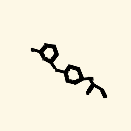 C=CC(=O)Nc1ccc(Sc2ccnc(Cl)n2)cc1